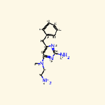 CN(CCN)c1cc(Cc2ccccc2)nc(N)n1